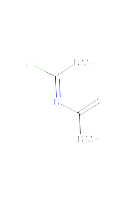 C=C(/N=C(/Cl)NC)NC